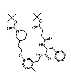 Cc1ccc(OCCC2CCCN(C(=O)OC(C)(C)C)C2)cc1CNC(=O)[C@H](Cc1ccccc1)NC(=O)CCC(=O)OC(C)(C)C